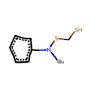 CCC(C)N(SCS)c1ccccc1